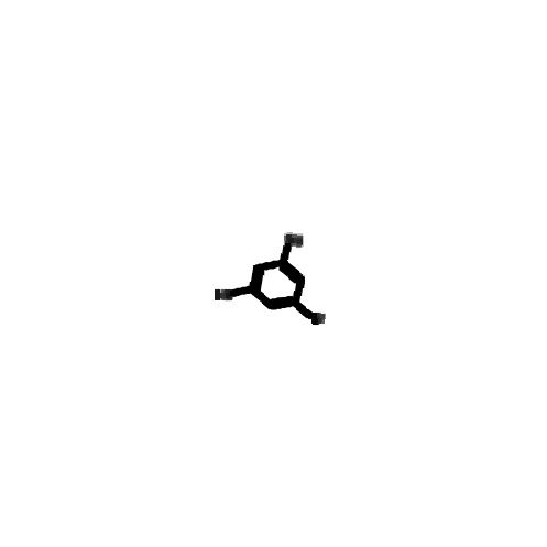 Sc1cc(S)cc(Br)c1